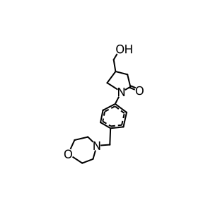 O=C1CC(CO)CN1c1ccc(CN2CCOCC2)cc1